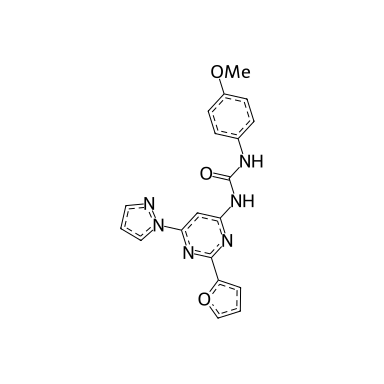 COc1ccc(NC(=O)Nc2cc(-n3cccn3)nc(-c3ccco3)n2)cc1